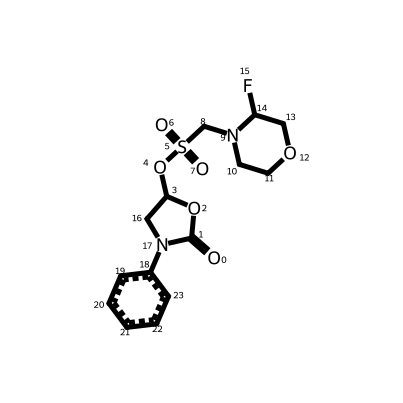 O=C1OC(OS(=O)(=O)CN2CCOCC2F)CN1c1ccccc1